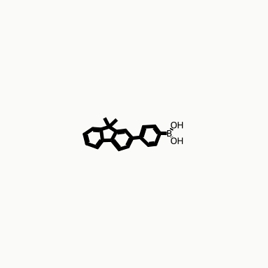 CC1(C)c2ccccc2-c2ccc(-c3ccc(B(O)O)cc3)cc21